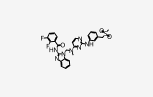 CN(Cn1c(NC(=O)c2cccc(F)c2F)nc2ccccc21)c1ccnc(Nc2cccc(CS(C)(=O)=O)c2)n1